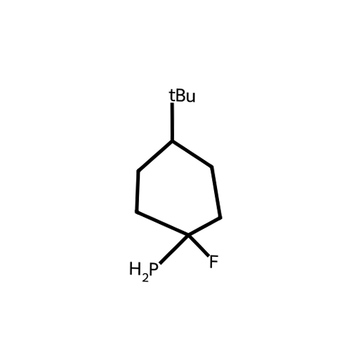 CC(C)(C)C1CCC(F)(P)CC1